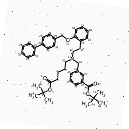 CC(C)(C)OC(=O)CCCCN(CCc1ccccc1OCc1ccc(-c2ccccc2)cc1)Cc1cccc(C(=O)OC(C)(C)C)c1